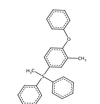 Cc1cc(S(C)(c2ccccc2)c2ccccc2)ccc1Oc1ccccc1